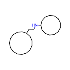 C1CCCCCCCC(CCNC2CCCCCCCCCCCC2)CCCCCC1